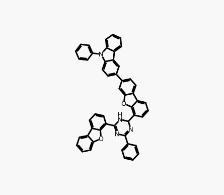 c1ccc(C2=NC(c3cccc4c3oc3cc(-c5ccc6c(c5)c5ccccc5n6-c5ccccc5)ccc34)NC(c3cccc4c3oc3ccccc34)=N2)cc1